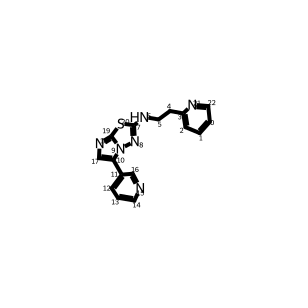 c1ccc(CCNc2nn3c(-c4cccnc4)cnc3s2)nc1